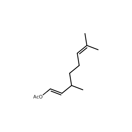 CC(=O)OC=CC(C)CCC=C(C)C